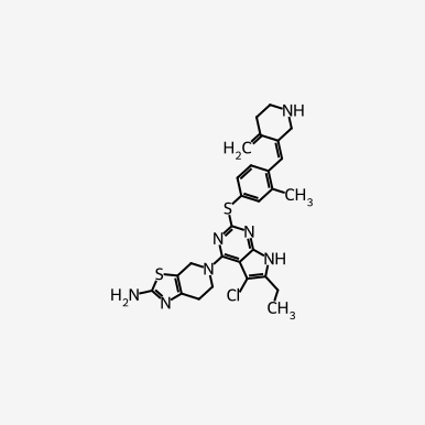 C=C1CCNC/C1=C/c1ccc(Sc2nc(N3CCc4nc(N)sc4C3)c3c(Cl)c(CC)[nH]c3n2)cc1C